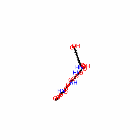 CC(=O)COCCOCCNC(=O)COCCOCCNC(=O)COCCOCCNC(=O)CC[C@H](NC(=O)CCCCCCCCCCCCCCC(=O)O)C(=O)O